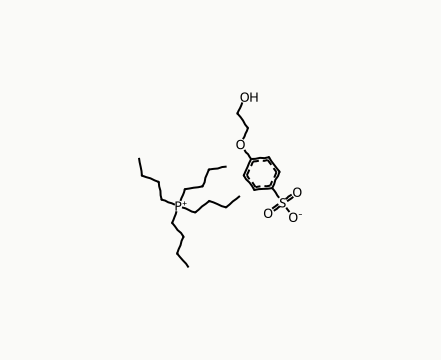 CCCC[P+](CCCC)(CCCC)CCCC.O=S(=O)([O-])c1ccc(OCCO)cc1